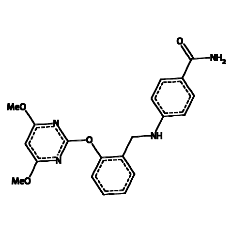 COc1cc(OC)nc(Oc2ccccc2CNc2ccc(C(N)=O)cc2)n1